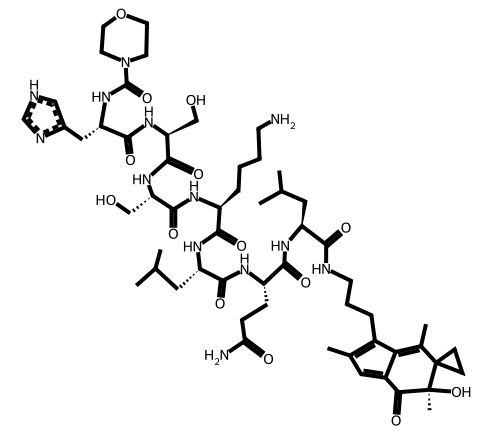 CC1=C(CCCNC(=O)[C@H](CC(C)C)NC(=O)[C@H](CCC(N)=O)NC(=O)[C@H](CC(C)C)NC(=O)[C@H](CCCCN)NC(=O)[C@H](CO)NC(=O)[C@H](CO)NC(=O)[C@H](Cc2c[nH]cn2)NC(=O)N2CCOCC2)C2=C(C)C3(CC3)[C@@](C)(O)C(=O)C2=C1